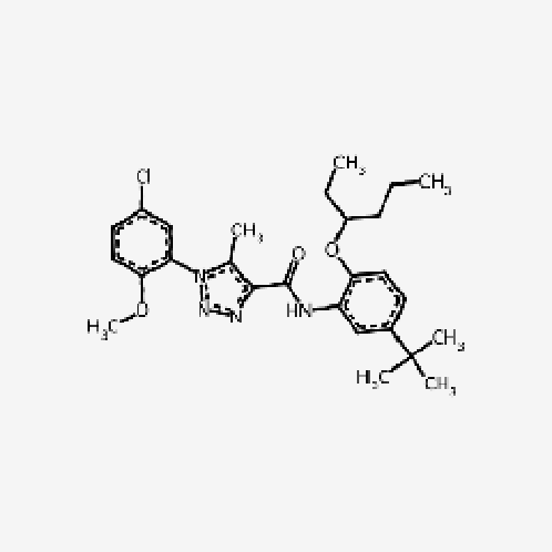 CCCC(CC)Oc1ccc(C(C)(C)C)cc1NC(=O)c1nnn(-c2cc(Cl)ccc2OC)c1C